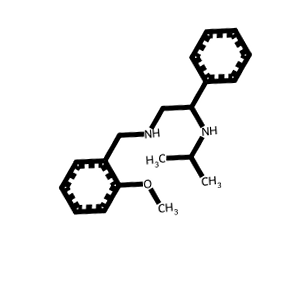 COc1ccccc1CNCC(NC(C)C)c1ccccc1